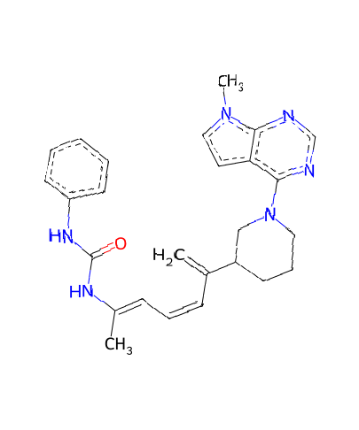 C=C(/C=C\C=C(/C)NC(=O)Nc1ccccc1)C1CCCN(c2ncnc3c2ccn3C)C1